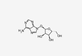 Nc1ncnc2c1ncn2O[C@H]1O[C@H](CO)[C@@H](O)[C@H]1O